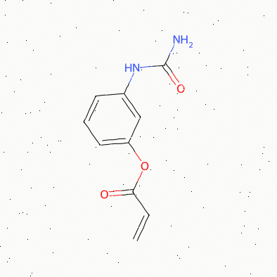 C=CC(=O)Oc1cccc(NC(N)=O)c1